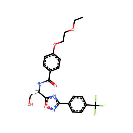 CCOCCOc1ccc(C(=O)N[C@@H](CO)c2nc(-c3ccc(C(F)(F)F)cc3)no2)cc1